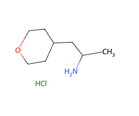 CC(N)CC1CCOCC1.Cl